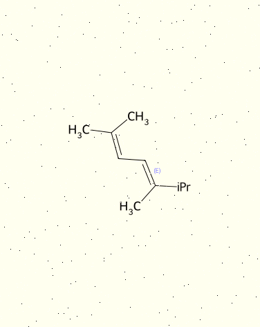 CC(C)=C/C=C(\C)C(C)C